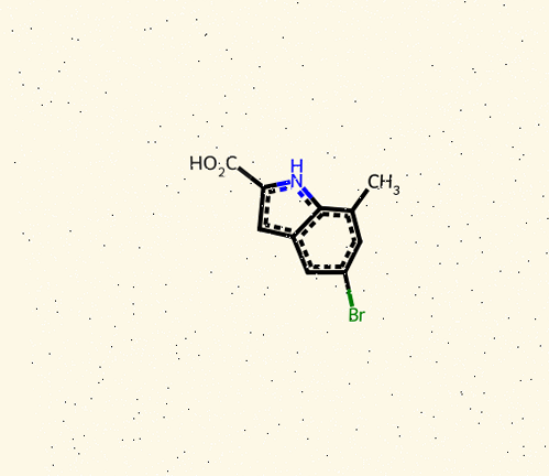 Cc1cc(Br)cc2cc(C(=O)O)[nH]c12